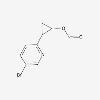 O=CO[C@H]1CC1c1ccc(Br)cn1